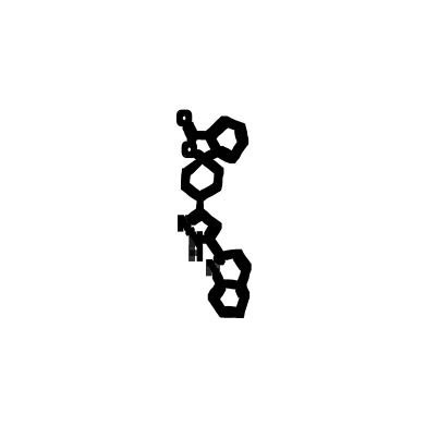 O=C1O[C@]2(CC[C@H](c3cc(-c4ccc5ccccc5n4)[nH]n3)CC2)c2ccccc21